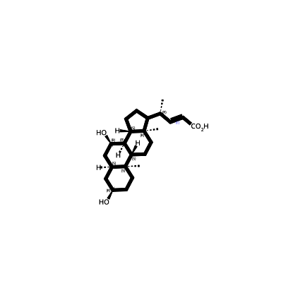 C[C@H](/C=C/C(=O)O)C1CC[C@H]2[C@@H]3[C@H](O)C[C@@H]4C[C@H](O)CC[C@]4(C)[C@H]3CC[C@]12C